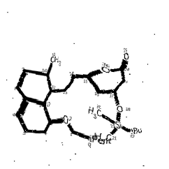 CCCC(C)COC1CCC=C2C=CC(C)C(CCC3CC(O[Si](C)(C)C(C)(C)C)CC(=O)O3)C21